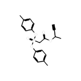 C#CC(C)OC(=O)CP(=O)(Oc1ccc(C)cc1)Oc1ccc(C)cc1